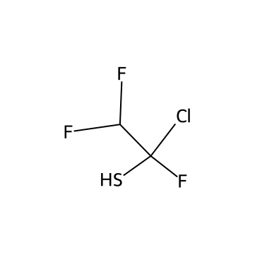 FC(F)C(F)(S)Cl